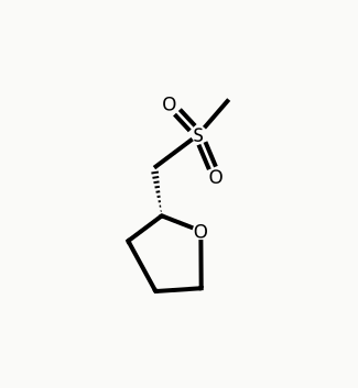 CS(=O)(=O)C[C@H]1CCCO1